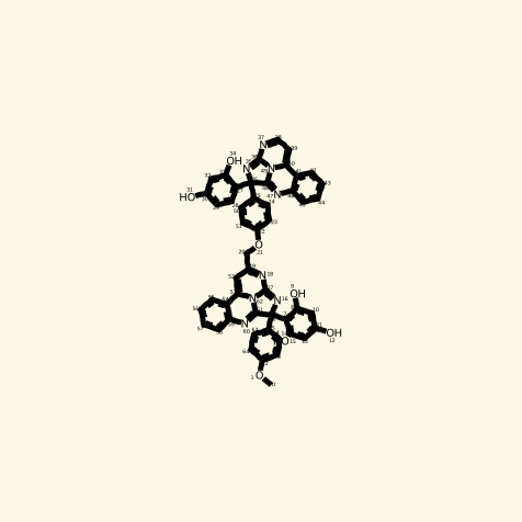 COc1ccc(C2(c3c(O)cc(O)cc3O)N=C3N=C(COc4ccc(C5(c6ccc(O)cc6O)N=C6N=CC=C7c8ccccc8N=C5N76)cc4)C=C4c5ccccc5N=C2N43)cc1